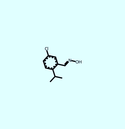 CC(C)c1ccc(Cl)cc1C=NO